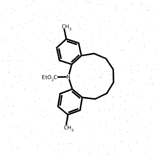 CCOC(=O)N1c2ccc(C)cc2CCCCCCc2cc(C)ccc21